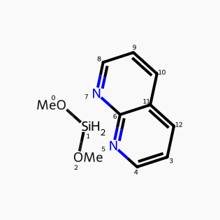 CO[SiH2]OC.c1cnc2ncccc2c1